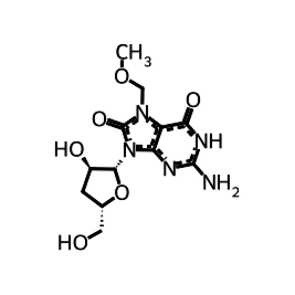 COCn1c(=O)n([C@@H]2O[C@H](CO)C[C@H]2O)c2nc(N)[nH]c(=O)c21